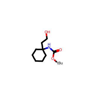 CC(C)(C)OC(=O)NC1(CCO)CCCCC1